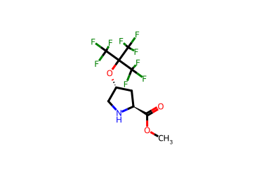 COC(=O)[C@@H]1C[C@@H](OC(C(F)(F)F)(C(F)(F)F)C(F)(F)F)CN1